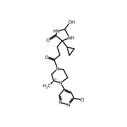 C[C@H]1CN(C(=O)CCC2(C3CC3)NC(O)NC2=O)CCN1c1cnnc(Cl)c1